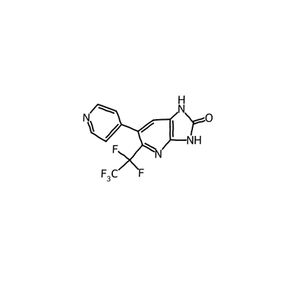 O=c1[nH]c2cc(-c3ccncc3)c(C(F)(F)C(F)(F)F)nc2[nH]1